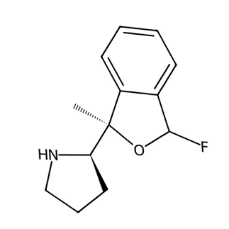 C[C@@]1([C@H]2CCCN2)OC(F)c2ccccc21